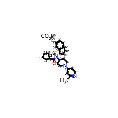 Cc1cc(N2CCC([N+](C)(C(=O)C3CCCC3)[C@@H]3CCc4ccc(OC(=O)O)cc43)CC2)ccn1